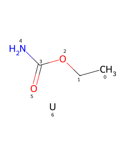 CCOC(N)=O.[U]